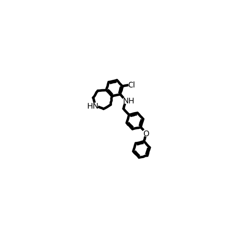 Clc1ccc2c(c1NCc1ccc(Oc3ccccc3)cc1)CCNCC2